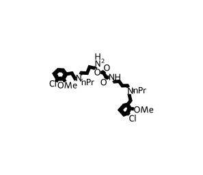 CCCN(CCCCNC(=O)C(=O)OC(N)CCCN(CCC)CCc1cccc(Cl)c1OC)CCc1cccc(Cl)c1OC